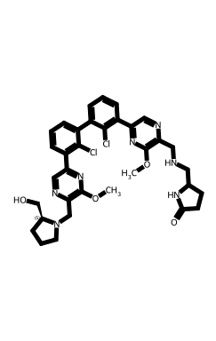 COc1nc(-c2cccc(-c3cccc(-c4cnc(CN5CCC[C@H]5CO)c(OC)n4)c3Cl)c2Cl)cnc1CNCC1CCC(=O)N1